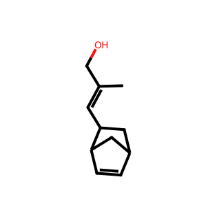 C/C(=C\C1CC2C=CC1C2)CO